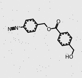 N#[N+]c1ccc(COC(=O)c2ccc(CO)cc2)cc1